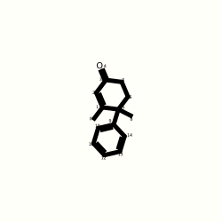 CC1=CC(=O)CCC1(C)c1ccccc1